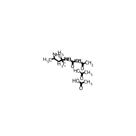 CC(=O)O.CC(=O)O.CC(=O)O.CC(=O)O.CC(N)CC(C)(C)N